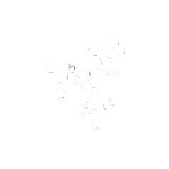 CC1(C)c2cc(N(c3ccc4c(c3)C(C)(C)c3c5c(c6oc7ccccc7c6c3-4)-c3ccccc3C5(C)C)c3ccc4c(c3)C(C)(C)c3c5c(c6oc7ccccc7c6c3-4)-c3ccccc3C5(C)C)ccc2-c2c1cc(-c1cccc3ccccc13)c1oc3ccccc3c21